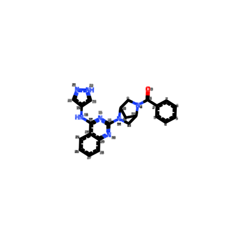 O=C(c1ccccc1)N1CC2CC1CN2c1nc(Nc2cn[nH]c2)c2ccccc2n1